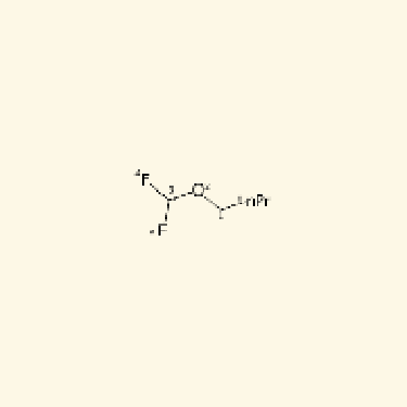 CCCCO[C](F)F